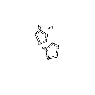 Cl.c1c[nH]nn1.c1cc[nH]c1